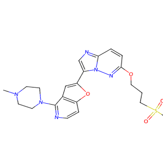 CN1CCN(c2nccc3oc(-c4cnc5ccc(OCCCS(C)(=O)=O)nn45)cc23)CC1